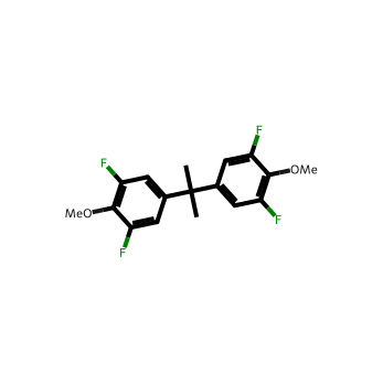 COc1c(F)cc(C(C)(C)c2cc(F)c(OC)c(F)c2)cc1F